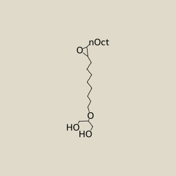 CCCCCCCCC1OC1CCCCCCCCOC(CO)CO